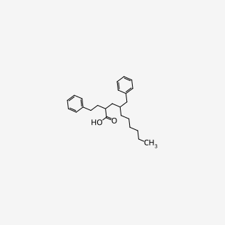 CCCCCCC(Cc1ccccc1)CC(CCc1ccccc1)C(=O)O